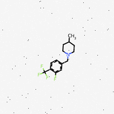 CC1CCN(Cc2ccc(C(F)(F)F)c(F)c2)CC1